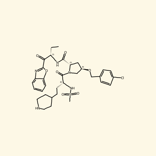 CC[C@H](NC(=O)[C@@H]1C[C@@H](OCc2ccc(Cl)cc2)CN1C(=O)[C@@H](CCC1CCNCC1)NS(C)(=O)=O)C(=O)c1nc2ccccc2o1